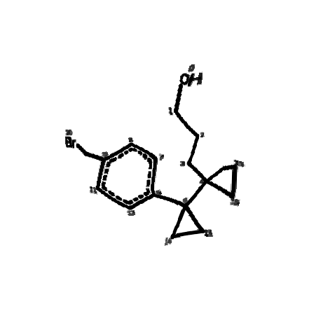 OCCCC1(C2(c3ccc(Br)cc3)CC2)CC1